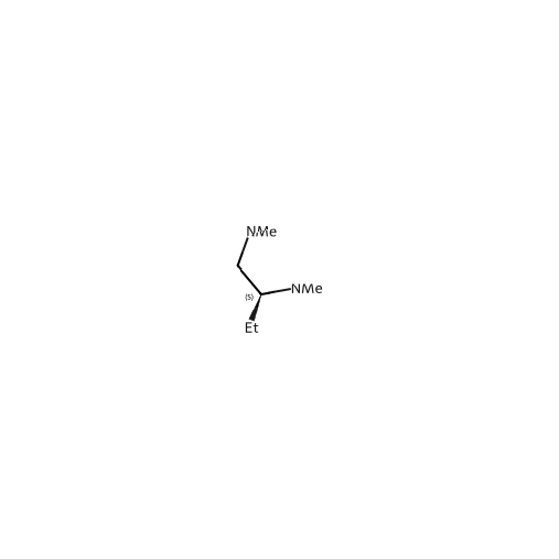 CC[C@@H](CNC)NC